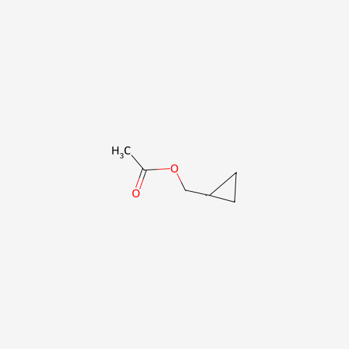 CC(=O)OC[C]1CC1